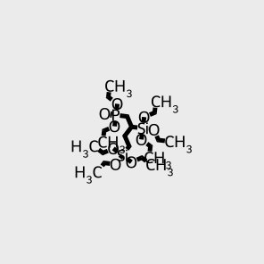 CCO[Si](CCC(CP(=O)(OCC)OCC)[Si](OCC)(OCC)OCC)(OCC)OCC